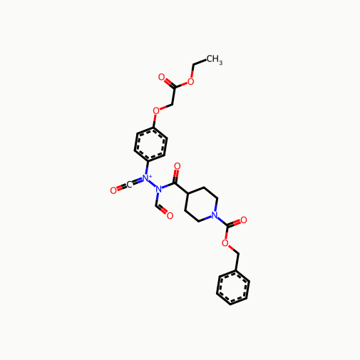 CCOC(=O)COc1ccc([N+](=C=O)N(C=O)C(=O)C2CCN(C(=O)OCc3ccccc3)CC2)cc1